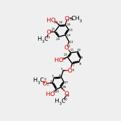 COc1cc(COc2cccc(OCc3cc(OC)c(O)c(OC)c3)c2O)cc(OC)c1O